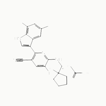 CC1([C@@H](CC(=O)O)Nc2nc(-c3c[nH]c4c(F)cc(F)cc34)c(C#N)cc2F)CCCC1